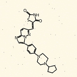 O=C1NC(=O)/C(=C/c2ccc3ncc(-c4ccc(N5CCN(C6CCCC6)CC5)cc4)n3n2)S1